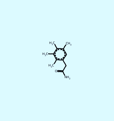 Cc1cc(CC(N)=O)c(C)c(C)c1C